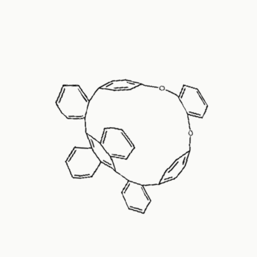 c1ccc2oc3ccc(cc3)c3ccccc3c3c4ccccc4c(c4ccccc4c4ccc(cc4)oc2c1)c1ccccc13